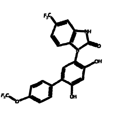 O=c1[nH]c2cc(C(F)(F)F)ccc2n1-c1cc(-c2ccc(OC(F)(F)F)cc2)c(O)cc1O